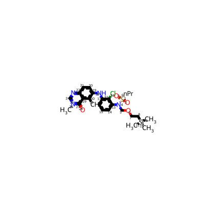 CCCS(=O)(=O)N(COCC[Si](C)(C)C)c1cccc(Nc2ccc3ncn(C)c(=O)c3c2C)c1Cl